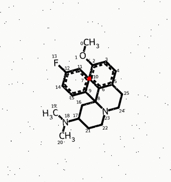 COc1ccc2c(c1)C1(c3ccc(F)cc3)CC(N(C)C)CCN1CC2